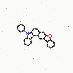 c1ccc(-n2c3ccccc3c3c4cc5c(cc4ccc32)oc2ccccc25)cc1